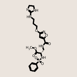 COC(=O)[C@H](CNC(=O)c1cc(OCCCNC2=NCCN2)no1)NS(=O)(=O)c1ccccc1